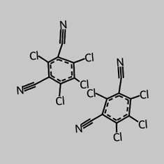 N#Cc1c(Cl)c(Cl)c(Cl)c(C#N)c1Cl.N#Cc1c(Cl)c(Cl)c(Cl)c(C#N)c1Cl